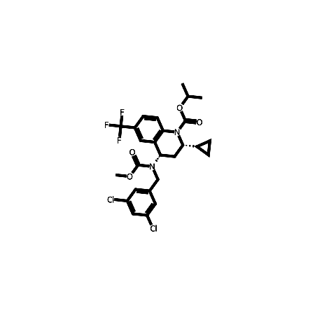 COC(=O)N(Cc1cc(Cl)cc(Cl)c1)[C@H]1C[C@@H](C2CC2)N(C(=O)OC(C)C)c2ccc(C(F)(F)F)cc21